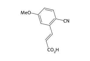 COc1ccc(C#N)c(/C=C/C(=O)O)c1